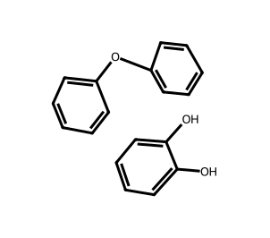 Oc1ccccc1O.c1ccc(Oc2ccccc2)cc1